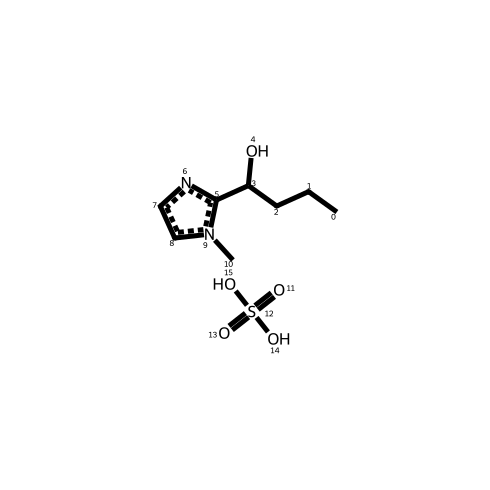 CCCC(O)c1nccn1C.O=S(=O)(O)O